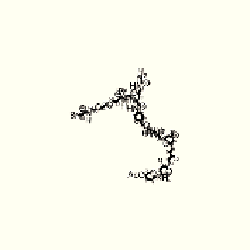 CC(=O)O[C@@H](C)/C=C\C(=O)N[C@@H]1C[C@H](C)[C@H](C/C=C(C)/C=C/[C@@H]2C[C@]3(CO3)C[C@@H](CC(=O)NNC(=O)OCc3ccc(NC(=O)[C@H](CCCNC(N)=O)NC(=O)[C@@H](NC(=O)CCOCCOCCNC(=O)CBr)C(C)C)cc3)O2)O[C@@H]1C